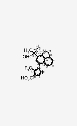 CC(C)(C=O)c1cc(-n2ncc(C(=O)O)c2C(F)(F)F)c2cccc3c2c1NC3